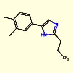 Cc1ccc(-c2cnc(CCC(F)(F)F)[nH]2)cc1C